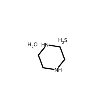 C1CNCCN1.O.S